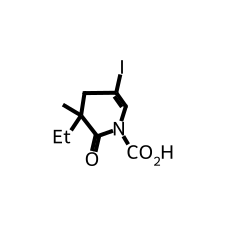 CCC1(C)CC(I)=CN(C(=O)O)C1=O